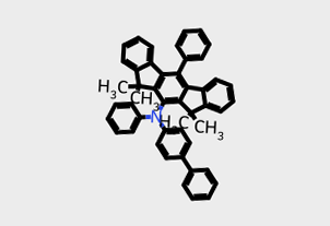 CC1(C)c2ccccc2-c2c(-c3ccccc3)c3c(c(N(c4ccccc4)c4ccc(-c5ccccc5)cc4)c21)C(C)(C)c1ccccc1-3